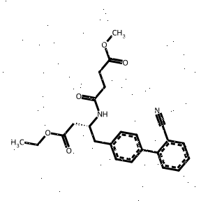 CCOC(=O)C[C@@H](Cc1ccc(-c2ccccc2C#N)cc1)NC(=O)CCC(=O)OC